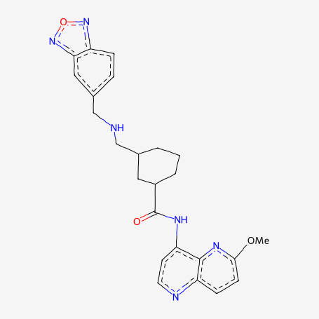 COc1ccc2nccc(NC(=O)C3CCCC(CNCc4ccc5nonc5c4)C3)c2n1